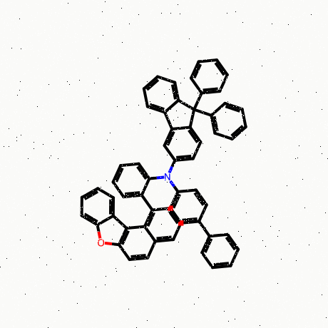 c1ccc(-c2ccc(N(c3ccc4c(c3)-c3ccccc3C4(c3ccccc3)c3ccccc3)c3ccccc3-c3cccc4ccc5oc6ccccc6c5c34)cc2)cc1